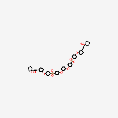 O=S(=O)(c1ccc(Oc2cccc(C#CC3(O)CCCCC3)c2)cc1)c1ccc(Oc2cccc(Oc3ccc(S(=O)(=O)c4ccc(Oc5cccc(C#CC6(O)CCCCC6)c5)cc4)cc3)c2)cc1